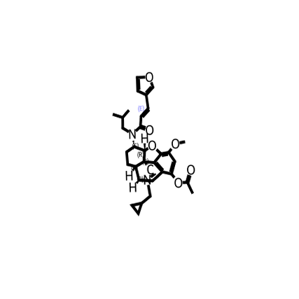 COc1cc(OC(C)=O)c2c3c1O[C@H]1[C@@H](N(CC(C)C)C(=O)/C=C/c4ccoc4)CC[C@H]4[C@@H](C2)N(CC2CC2)CC[C@@]341